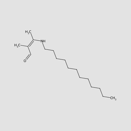 CCCCCCCCCCCCNC(C)=C(C)C=O